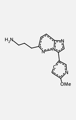 COc1ccc(-c2cnc3ccc(CCCN)nn23)cn1